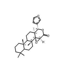 CC1(C)CCC[C@@]2(C)C1CC[C@]1(C)C2CC[C@@]2(C)[C@H](c3ccoc3)OC(=O)[C@H]3O[C@]321